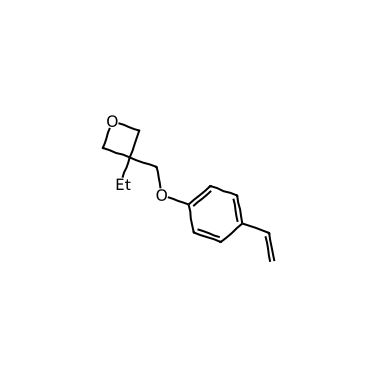 C=Cc1ccc(OCC2(CC)COC2)cc1